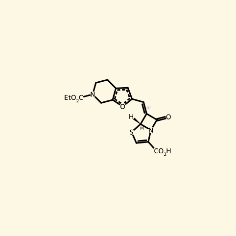 CCOC(=O)N1CCc2cc(/C=C3/C(=O)N4C(C(=O)O)=CS[C@H]34)oc2C1